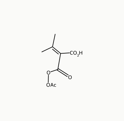 CC(=O)OOC(=O)C(C(=O)O)=C(C)C